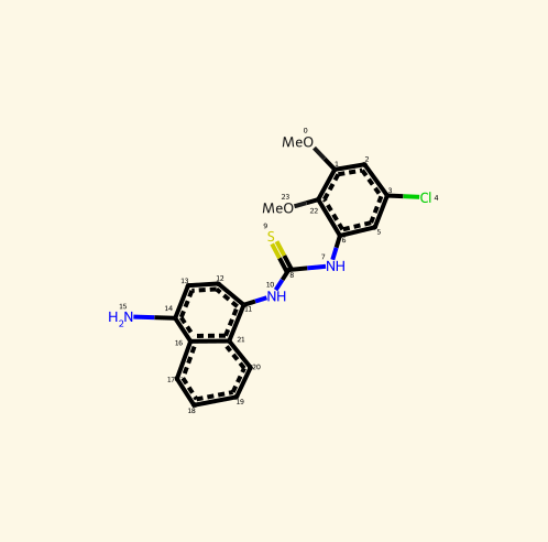 COc1cc(Cl)cc(NC(=S)Nc2ccc(N)c3ccccc23)c1OC